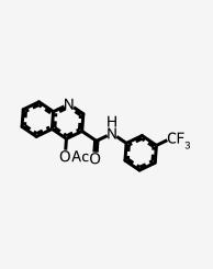 CC(=O)Oc1c(C(=O)Nc2cccc(C(F)(F)F)c2)cnc2ccccc12